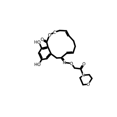 O=C1OCC/C=C/CC/C=C/C(=N\OCC(=O)N2CCOCC2)Cc2cc(O)cc(O)c21